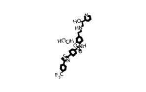 Cl.Cl.O=S(=O)(Nc1ccc(CCNC[C@H](O)c2cccnc2)cc1)c1ccc(-c2nc(-c3ccc(C(F)(F)F)cc3)cs2)cc1